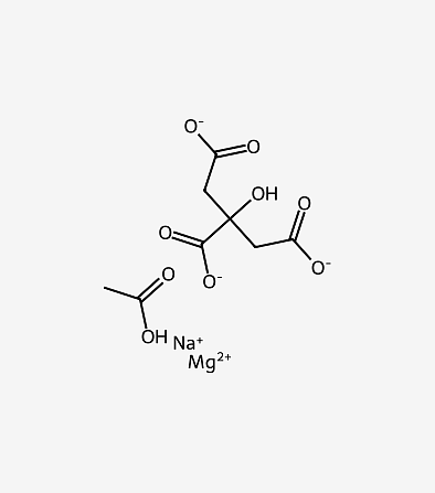 CC(=O)O.O=C([O-])CC(O)(CC(=O)[O-])C(=O)[O-].[Mg+2].[Na+]